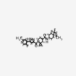 CO[C@]1(C(F)(F)F)CC[C@H](NC(=O)[C@@H]2CCN(C(=O)c3cc(-c4cc(C)ncc4F)[nH]n3)C3(CC3)C2)CC1